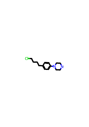 ClCCCCc1ccc(N2CC[N]CC2)cc1